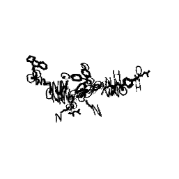 COc1ccc(C(OC[C@H]2O[C@@H](n3cnc4c(NC(=O)c5ccc(CNC(=O)CCC(C)C)cc5)ncnc43)C[C@H]2OP(=O)(OCCC#N)OC[C@H]2O[C@@H](n3cnc4c(NC(=O)CCCN(C)C(=O)OCC5c6ccccc6-c6ccccc65)ncnc43)C[C@H]2OP(OCCC#N)C(C(C)C)C(C)C)(c2ccccc2)c2ccc(OC)cc2)cc1